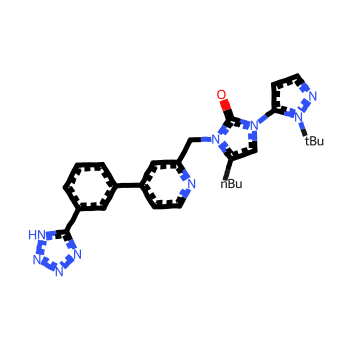 CCCCc1cn(-c2ccnn2C(C)(C)C)c(=O)n1Cc1cc(-c2cccc(-c3nnn[nH]3)c2)ccn1